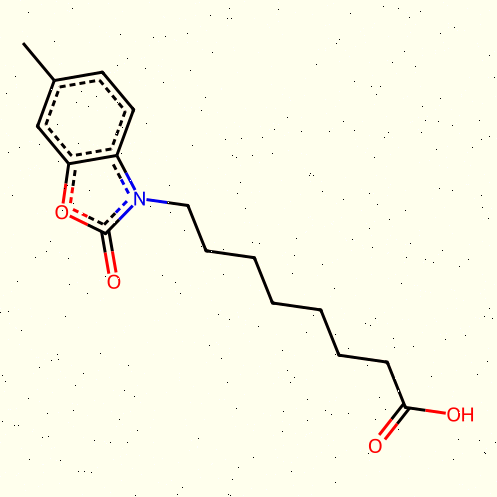 Cc1ccc2c(c1)oc(=O)n2CCCCCCCC(=O)O